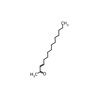 CCCCCCCCCCC/C=C/C(C)=O